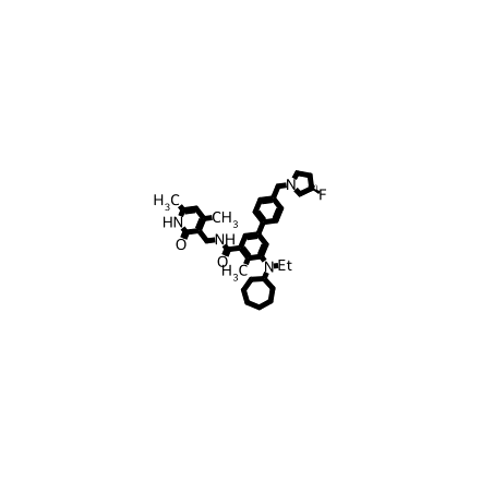 CCN(c1cc(-c2ccc(CN3CC[C@@H](F)C3)cc2)cc(C(=O)NCc2c(C)cc(C)[nH]c2=O)c1C)C1CCCCCC1